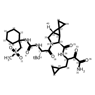 CC(C)(C)[C@H](NC(=O)NC1(CS(C)(=O)=O)CCCCC1)C(=O)N1C[C@H]2C([C@H]1C(=O)NC(CC1CC1)C(=O)C(N)=O)C21CC1